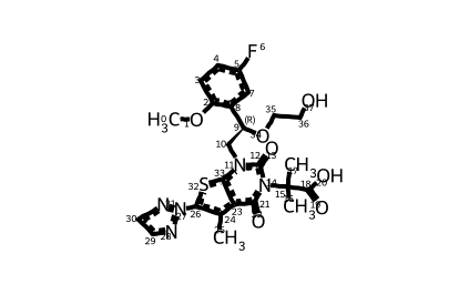 COc1ccc(F)cc1[C@H](Cn1c(=O)n(C(C)(C)C(=O)O)c(=O)c2c(C)c(-n3nccn3)sc21)OCCO